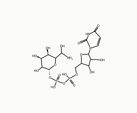 NC(O)C1O[C@H](OP(=O)(O)OP(=O)(O)OCC2OC(n3ccc(=O)[nH]c3=O)C(O)C2O)C(O)[C@@H](O)[C@H]1O